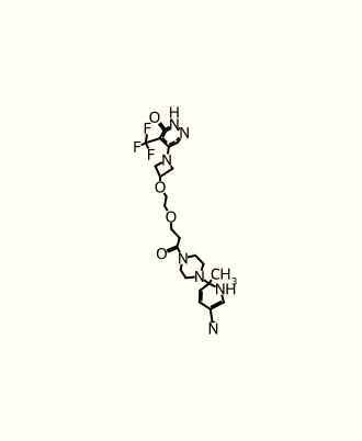 CC1(N2CCN(C(=O)CCOCCOC3CN(c4cn[nH]c(=O)c4C(F)(F)F)C3)CC2)C=CC(C#N)=CN1